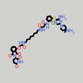 CC1(N)CCN(c2cnc(Sc3cccc(NC(=O)CC(=O)NCCCCCCCCNC(=O)COc4cccc5c4C(=O)N(C4CCC(=O)NC4=O)C5=O)c3Cl)c(N)n2)CC1